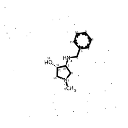 CN1C[C@H](NCc2ccccc2)[C@@H](O)C1